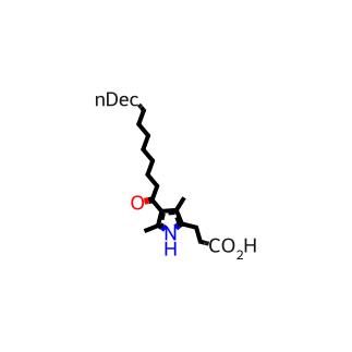 CCCCCCCCCCCCCCCCCC(=O)c1c(C)[nH]c(CCC(=O)O)c1C